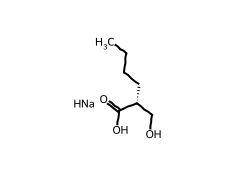 CCCC[C@H](CO)C(=O)O.[NaH]